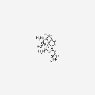 Cc1ncc(COc2ccc3oc(C)c(C(N)=O)c3c2C(CO)C(N)=O)s1